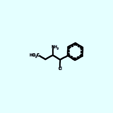 NC(CC(=O)O)C(Cl)c1ccccc1